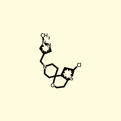 Cn1cc(CN2CCC3(CC2)OCCc2sc(Cl)cc23)cn1